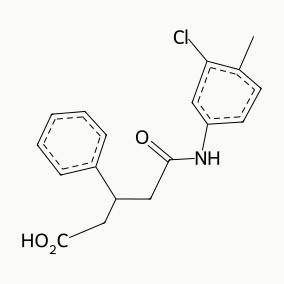 Cc1ccc(NC(=O)CC(CC(=O)O)c2ccccc2)cc1Cl